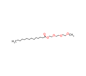 CCCCCCCCCCCCCC(=O)OCCOCCOCCOC